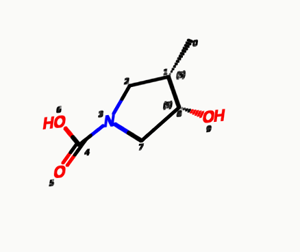 C[C@H]1CN(C(=O)O)C[C@H]1O